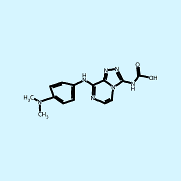 CN(C)c1ccc(Nc2nccn3c(NC(=O)O)nnc23)cc1